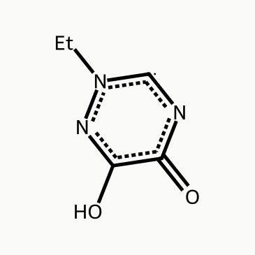 CCn1[c]nc(=O)c(O)n1